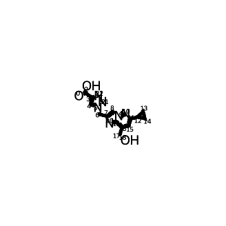 O=C(O)c1cn(Cc2cn3nc(C4CC4)cc(CO)c3n2)nn1